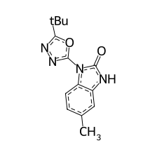 Cc1ccc2c(c1)[nH]c(=O)n2-c1nnc(C(C)(C)C)o1